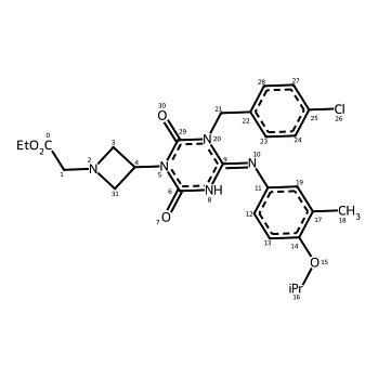 CCOC(=O)CN1CC(n2c(=O)[nH]/c(=N\c3ccc(OC(C)C)c(C)c3)n(Cc3ccc(Cl)cc3)c2=O)C1